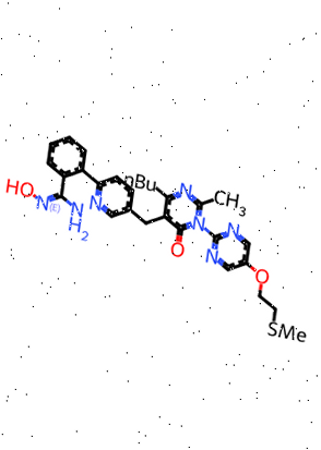 CCCCc1nc(C)n(-c2ncc(OCCSC)cn2)c(=O)c1Cc1ccc(-c2ccccc2/C(N)=N\O)nc1